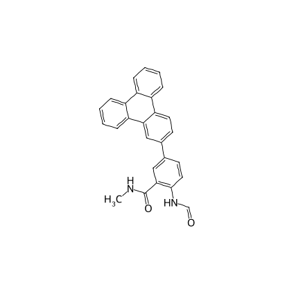 CNC(=O)c1cc(-c2ccc3c4ccccc4c4ccccc4c3c2)ccc1NC=O